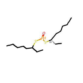 CCCCCC(CC)S[PH](=O)S[C@@H](CC)CCCCC